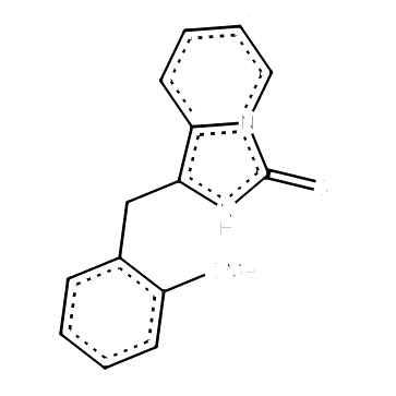 COc1ccccc1Cc1[nH]c(=S)n2ccccc12